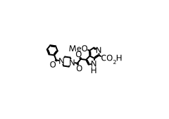 COc1cnc(C(=O)O)c2[nH]cc(C(=O)C(=O)N3CCN(C(=O)c4ccccc4)CC3)c12